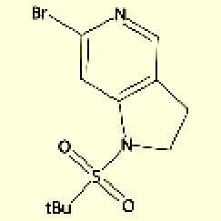 CC(C)(C)S(=O)(=O)N1CCc2cnc(Br)cc21